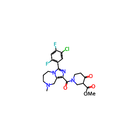 COC(=O)C1CN(C(=O)c2nc(-c3cc(Cl)c(F)cc3F)n3c2CN(C)CCC3)CCC1=O